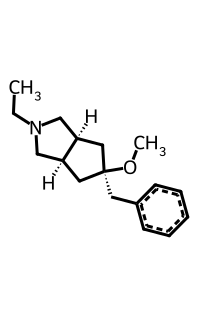 CCN1C[C@@H]2C[C@](Cc3ccccc3)(OC)C[C@@H]2C1